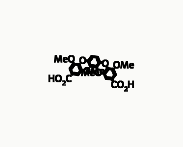 COc1cc(C(=O)O)cc(OC)c1Oc1ccc(Oc2c(OC)cc(C(=O)O)cc2OC)cc1